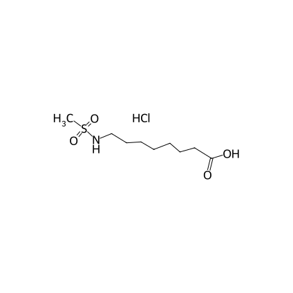 CS(=O)(=O)NCCCCCCCC(=O)O.Cl